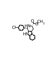 COC(=O)[C@@H]1Cc2c([nH]c3ccccc23)[C@@H](c2ccc(Cl)cc2)N1